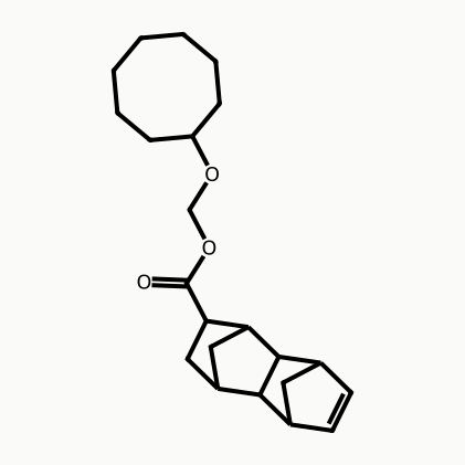 O=C(OCOC1CCCCCCC1)C1CC2CC1C1C3C=CC(C3)C21